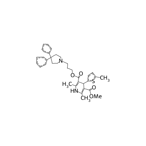 COC(=O)C1=C(C)NC(C)=C(C(=O)OCCCN2CCC(c3ccccc3)(c3ccccc3)CC2)C1c1ccc(C)s1